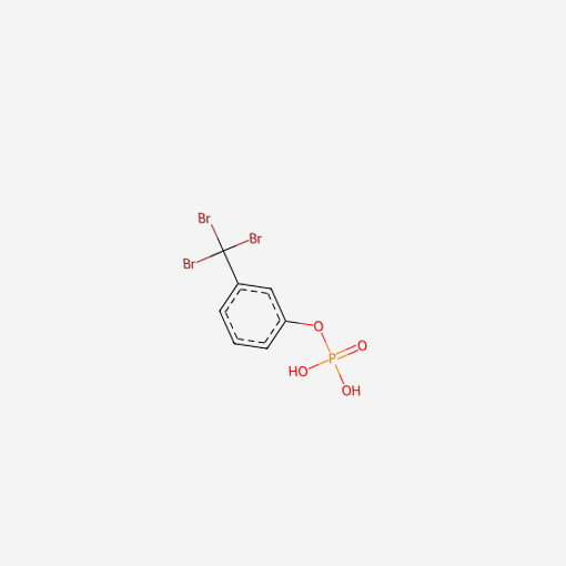 O=P(O)(O)Oc1cccc(C(Br)(Br)Br)c1